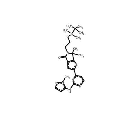 Cn1nccc1Nc1nccc(-c2cc3c(s2)C(C)(C)N(CCO[Si](C)(C)C(C)(C)C)C3=O)n1